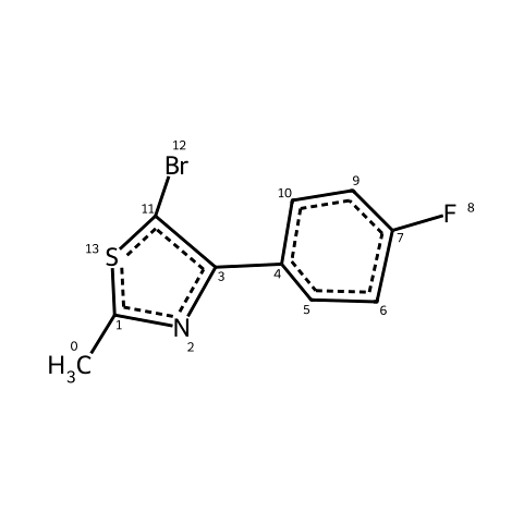 Cc1nc(-c2ccc(F)cc2)c(Br)s1